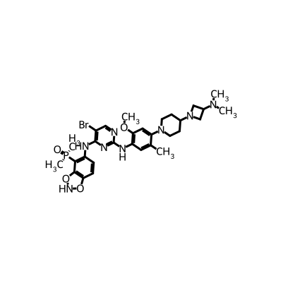 COc1cc(N2CCC(N3CC(N(C)C)C3)CC2)c(C)cc1Nc1ncc(Br)c(Nc2ccc3c(c2P(C)(C)=O)ONO3)n1